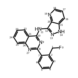 FCc1ccccc1-c1nc(Nc2n[nH]c3cccnc23)c2ccccc2n1